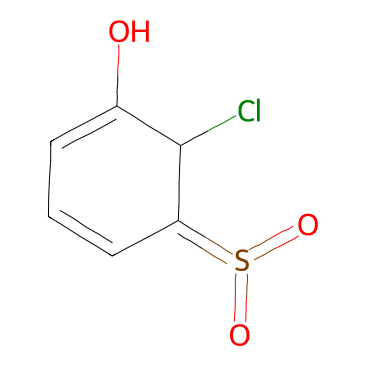 O=S(=O)=C1C=CC=C(O)C1Cl